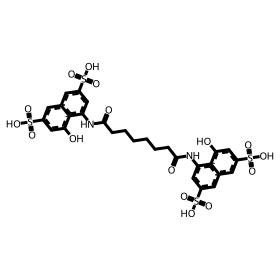 O=C(CCCCCCC(=O)Nc1cc(S(=O)(=O)O)cc2cc(S(=O)(=O)O)cc(O)c12)Nc1cc(S(=O)(=O)O)cc2cc(S(=O)(=O)O)cc(O)c12